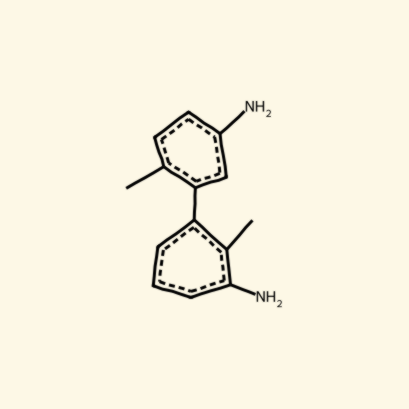 Cc1ccc(N)cc1-c1cccc(N)c1C